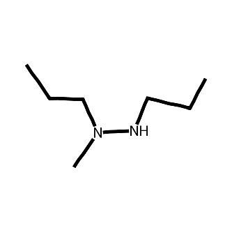 CCCNN(C)CCC